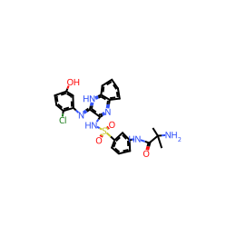 CC(C)(N)C(=O)Nc1cccc(S(=O)(=O)Nc2nc3ccccc3[nH]/c2=N\c2cc(O)ccc2Cl)c1